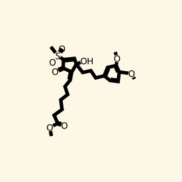 COC(=O)CCCCC/C=C1\C(=O)C(S(C)(=O)=O)=CC1(O)CCCc1ccc(OC)c(OC)c1